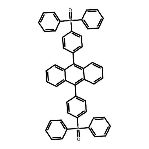 O=P(c1ccccc1)(c1ccccc1)c1ccc(-c2c3ccccc3c(-c3ccc(P(=O)(c4ccccc4)c4ccccc4)cc3)c3ccccc23)cc1